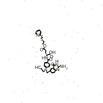 C#CCN(Cc1ccc2nc(N)[nH]c(=O)c2c1)c1ccc(C(=O)N[C@@H](CCC(=O)OCCSSc2ccccn2)C(=O)O)cc1